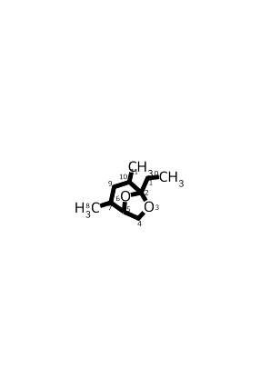 CCC12OCC(O1)C(C)CC2C